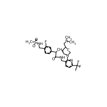 CC(C(=O)NCc1ccc(C(F)(F)F)nc1N1CCC(CN(C)C)CC1)c1ccc(CNS(C)(=O)=O)c(F)c1